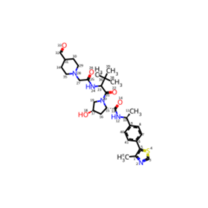 Cc1ncsc1-c1ccc([C@H](C)NC(=O)[C@@H]2C[C@@H](O)CN2C(=O)C(NC(=O)CN2CCC(C=O)CC2)C(C)(C)C)cc1